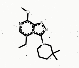 CCc1cnc(OC)c2nnc(N3CCCC(C)(C)C3)n12